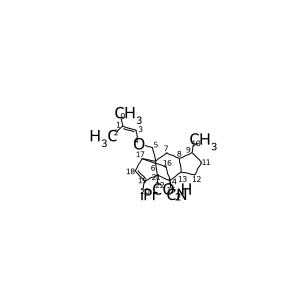 CC(C)=COCC12CC3C(C)CCC3C3(C#N)CC1C=C(C(C)C)C32C(=O)O